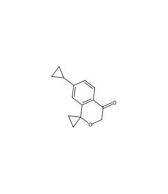 O=C1COC2(CC2)c2cc(C3CC3)ccc21